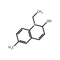 CCN1c2ccc(C)cc2C=CC1O